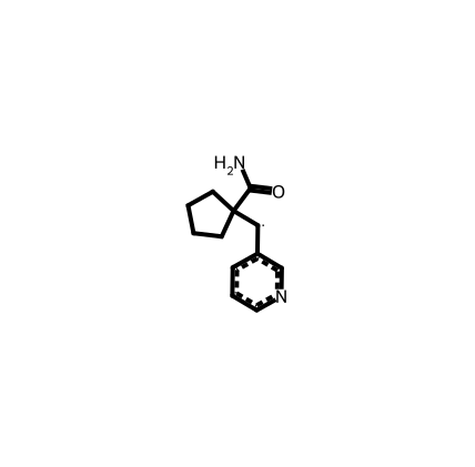 NC(=O)C1([CH]c2cccnc2)CCCC1